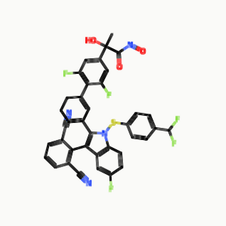 CC(O)(C(=O)N=O)c1cc(F)c(C2=CC(c3c(-c4c(C#N)cccc4C#N)c4cc(F)ccc4n3Sc3ccc(C(F)F)cc3)=CCC2)c(F)c1